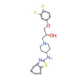 CN(c1nc2ccccc2s1)C1CCN(C[C@H](O)COc2ccc(F)c(F)c2)CC1